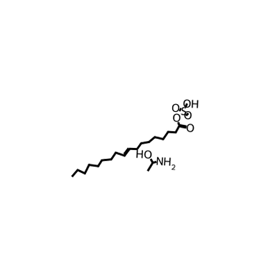 CC(N)O.CCCCCCCCC=CCCCCCCCC(=O)OS(=O)(=O)O